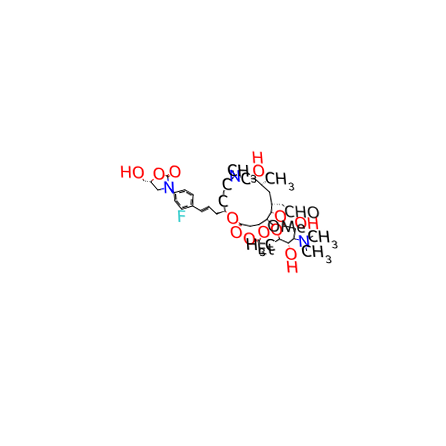 CCC(=O)O[C@@H]1CC(=O)O[C@@H](C/C=C/c2ccc(N3C[C@H](CO)OC3=O)cc2F)CCCN(C)C[C@H](O)[C@H](C)C[C@H](CC=O)[C@H](O[C@@H]2OC(C)[C@@H](O)C(N(C)C)C2O)[C@H]1OC